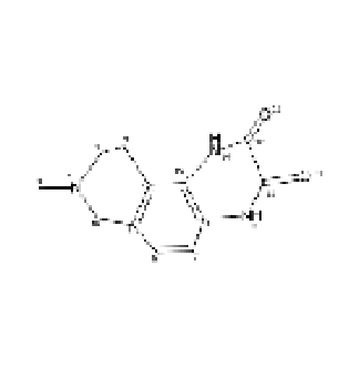 CN1CCc2c([c]cc3[nH]c(=O)c(=O)[nH]c23)C1